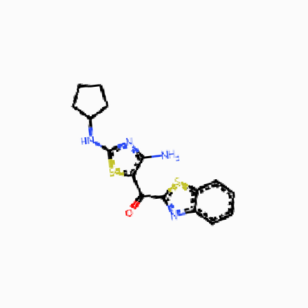 Nc1nc(NC2CCCC2)sc1C(=O)c1nc2ccccc2s1